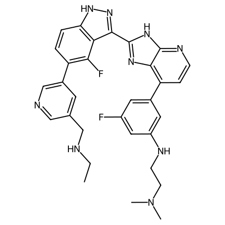 CCNCc1cncc(-c2ccc3[nH]nc(-c4nc5c(-c6cc(F)cc(NCCN(C)C)c6)ccnc5[nH]4)c3c2F)c1